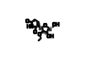 CCO[C@@H]1[C@H](O)[C@@H](CO)O[C@H]1n1ccc(=O)[nH]c1=O